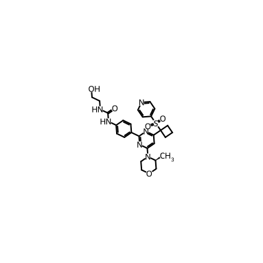 C[C@H]1COCCN1c1cc(C2(S(=O)(=O)c3ccncc3)CCC2)nc(-c2ccc(NC(=O)NCCO)cc2)n1